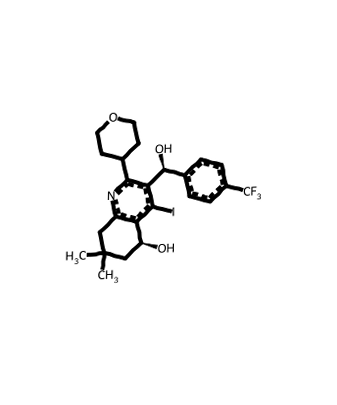 CC1(C)Cc2nc(C3CCOCC3)c([C@@H](O)c3ccc(C(F)(F)F)cc3)c(I)c2[C@@H](O)C1